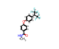 CNC(=O)c1ccc(Oc2ccc(C(C(F)(F)F)C(F)(F)F)cc2)cc1